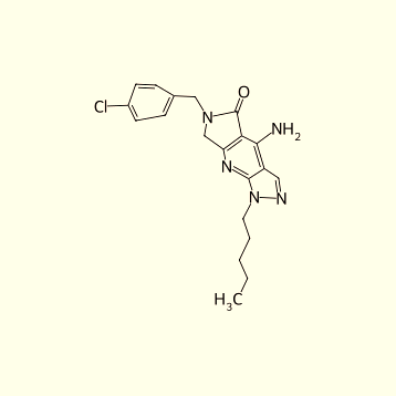 CCCCCn1ncc2c(N)c3c(nc21)CN(Cc1ccc(Cl)cc1)C3=O